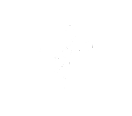 CCCC[C@H](NC(=O)[C@H](Cc1ccccc1)CS(=O)(=O)Cc1ccco1)C(=O)N[C@@H](CC1CCCCC1)[C@@H](O)[C@@H](O)CN1CCOCC1